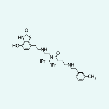 Cc1cccc(CCNCCCC(=O)N(CCNCCc2ccc(O)c3[nH]c(=O)sc23)C(C(C)C)C(C)C)c1